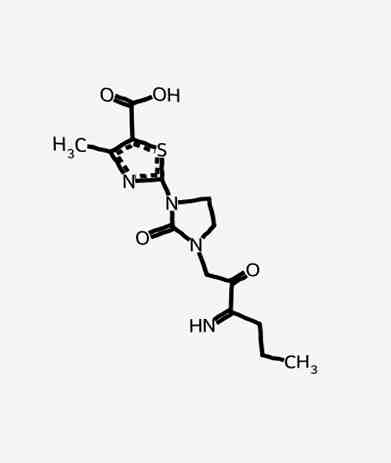 CCCC(=N)C(=O)CN1CCN(c2nc(C)c(C(=O)O)s2)C1=O